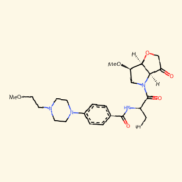 COCCN1CCN(c2ccc(C(=O)NC(CC(C)C)C(=O)N3C[C@@H](OC)[C@H]4OCC(=O)[C@H]43)cc2)CC1